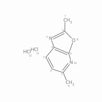 Cc1ccc2nc(C)oc2n1.Cl.Cl